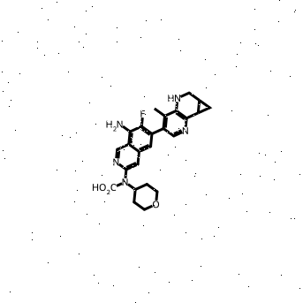 Cc1c(-c2cc3cc(N(C(=O)O)C4CCOCC4)ncc3c(N)c2F)cnc2c1NCC1CC21